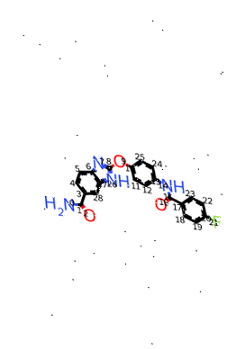 NC(=O)c1ccc2nc(Oc3ccc(NC(=O)c4ccc(F)cc4)cc3)[nH]c2c1